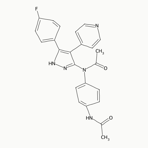 CC(=O)Nc1ccc(N(C(C)=O)c2n[nH]c(-c3ccc(F)cc3)c2-c2ccncc2)cc1